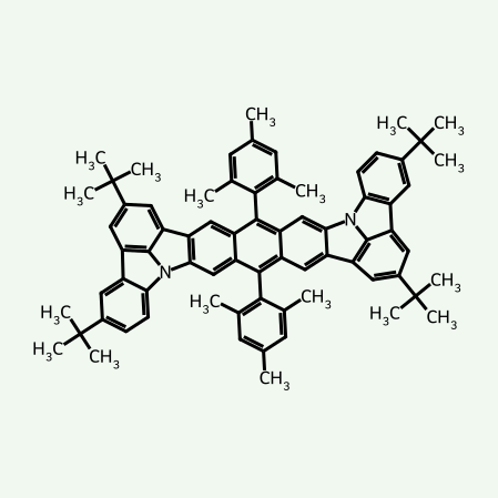 Cc1cc(C)c(-c2c3cc4c5cc(C(C)(C)C)cc6c7cc(C(C)(C)C)ccc7n(c4cc3c(-c3c(C)cc(C)cc3C)c3cc4c7cc(C(C)(C)C)cc8c9cc(C(C)(C)C)ccc9n(c4cc23)c87)c65)c(C)c1